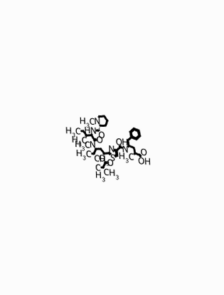 CCC(C)C(NC(=O)[C@H]1CCCCN1C)C(=O)N(C)C(CC(OC(=O)C(C)C)c1nc(C(=O)NC(Cc2ccccc2)CC(C)C(=O)O)cs1)C(C)C